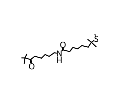 CSC(C)(C)CCCCCC(=O)NCCCCCC(=O)C(C)(C)C